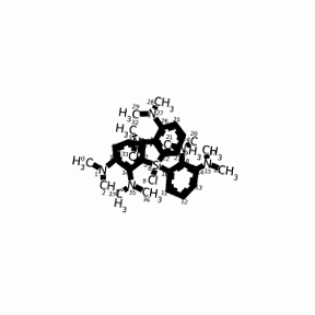 CN(C)c1cccc([Si](Cl)(c2cccc(N(C)C)c2N(C)C)c2cccc(N(C)C)c2N(C)C)c1N(C)C